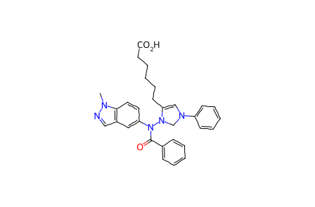 Cn1ncc2cc(N(C(=O)c3ccccc3)N3CN(c4ccccc4)C=C3CCCCCC(=O)O)ccc21